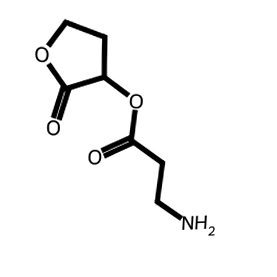 NCCC(=O)OC1CCOC1=O